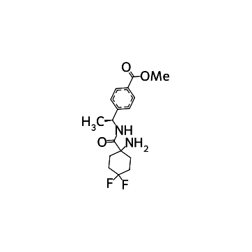 COC(=O)c1ccc([C@H](C)NC(=O)C2(N)CCC(F)(F)CC2)cc1